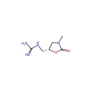 CN1C[C@@H](CNC(=N)N)OC1=O